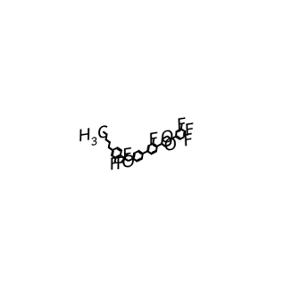 CCCCCc1ccc(C(F)(F)Oc2ccc(-c3ccc(C4COC(c5cc(F)c(F)c(F)c5)OC4)c(F)c3)cc2)c(F)c1